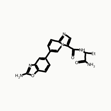 CCC(NC(=O)c1cnc2ccc(-c3ccc4oc(N)nc4c3)cn12)C(N)=O